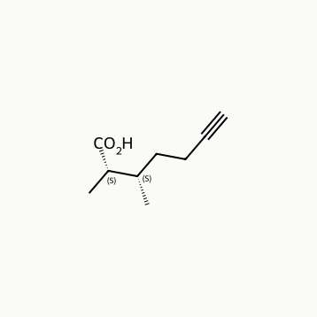 C#CCC[C@H](C)[C@H](C)C(=O)O